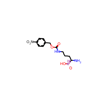 NC(CCCNC(=O)OCc1ccc([N+](=O)[O-])cc1)[PH](=O)O